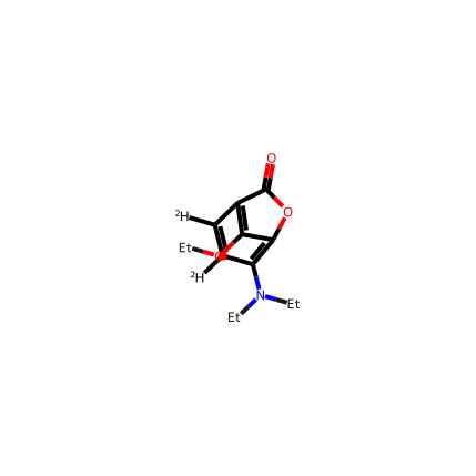 [2H]c1c([2H])c(N(CC)CC)c2c(OCC)c1C(=O)O2